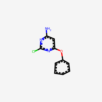 Nc1cc(Oc2ccccc2)nc(Cl)n1